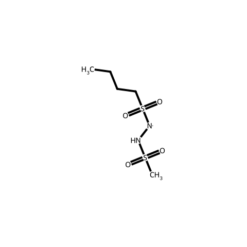 CCCCS(=O)(=O)[N]NS(C)(=O)=O